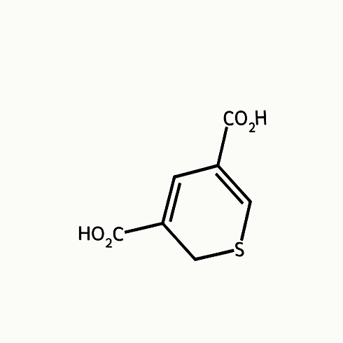 O=C(O)C1=CSCC(C(=O)O)=C1